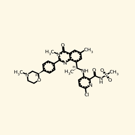 Cc1cc([C@@H](C)Nc2ccc(Cl)nc2C(=O)NS(C)(=O)=O)c2nc(-c3ccc([C@@H]4CN(C)CCO4)cc3)n(C)c(=O)c2c1